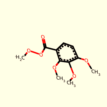 [CH2]OOC(=O)c1ccc(OC)c(OC)c1OC